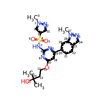 Cn1cc(S(=O)(=O)Nc2nc(OCCC(C)(C)O)cc(-c3ccc4cnn(C)c4c3)n2)cn1